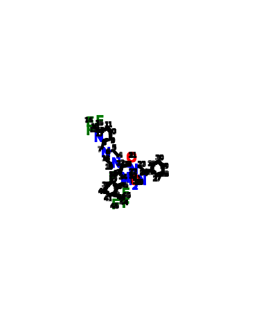 Cc1c(N2CCN(Cc3cccc(C(F)(F)F)n3)CC2)c(=O)n(C[C@@H](N)c2ccccc2)c(=O)n1Cc1c(F)cccc1C(F)(F)F